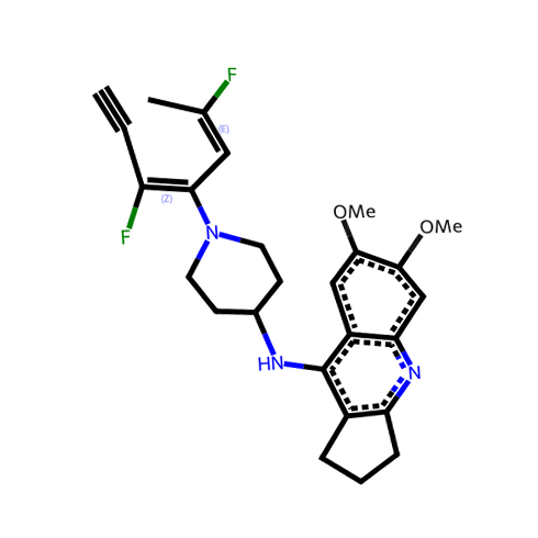 C#C/C(F)=C(\C=C(/C)F)N1CCC(Nc2c3c(nc4cc(OC)c(OC)cc24)CCC3)CC1